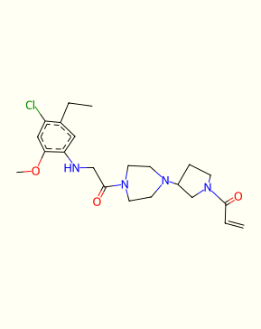 C=CC(=O)N1CCC(N2CCN(C(=O)CNc3cc(CC)c(Cl)cc3OC)CC2)C1